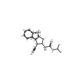 CC(C)OC(=O)NC1Cc2[nH]c3ccccc3c2C1C#N